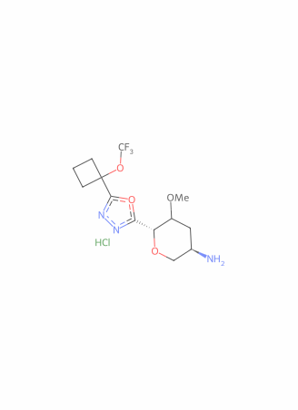 COC1C[C@@H](N)CO[C@@H]1c1nnc(C2(OC(F)(F)F)CCC2)o1.Cl